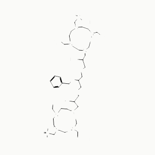 O=C(O)CN1CCN(CC(O)COCC(COCC(O)CN2CCN(CC(=O)O)CCN(CP(=O)(O)O)CCN(CC(=O)O)CC2)OCc2ccccc2)CCN(CC(=O)O)CCN(CP(=O)(O)O)CC1